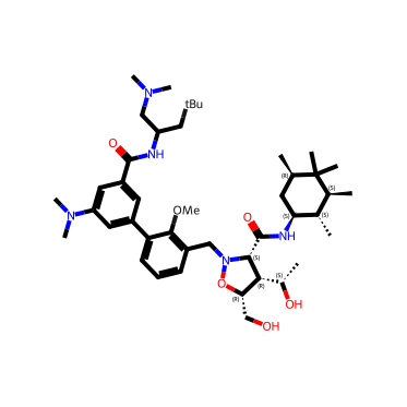 COc1c(CN2O[C@@H](CO)[C@@H]([C@H](C)O)[C@H]2C(=O)N[C@H]2C[C@@H](C)C(C)(C)[C@@H](C)[C@@H]2C)cccc1-c1cc(C(=O)NC(CN(C)C)CC(C)(C)C)cc(N(C)C)c1